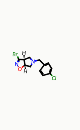 Clc1ccc(CN2C[C@@H]3ON=C(Br)[C@@H]3C2)cc1